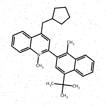 Cc1c(-c2cc(CC3CCCC3)c3ccccc3[n+]2C)cc(C(C)(C)C)c2ccccc12